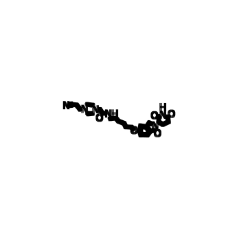 N#CCCN1CCN(CC(=O)NCCCCCCOc2ccc3c(c2)CN(C2CCC(=O)NC2=O)C3=O)CC1